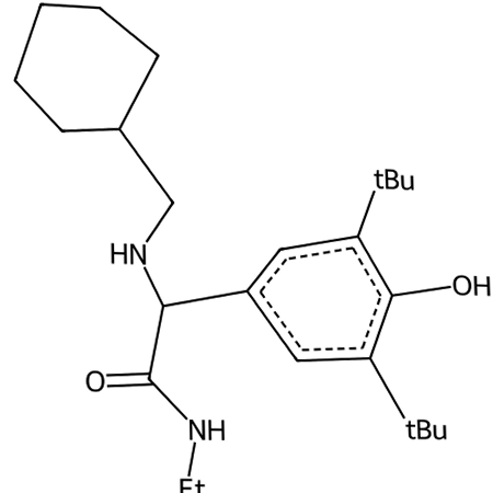 CCNC(=O)C(NCC1CCCCC1)c1cc(C(C)(C)C)c(O)c(C(C)(C)C)c1